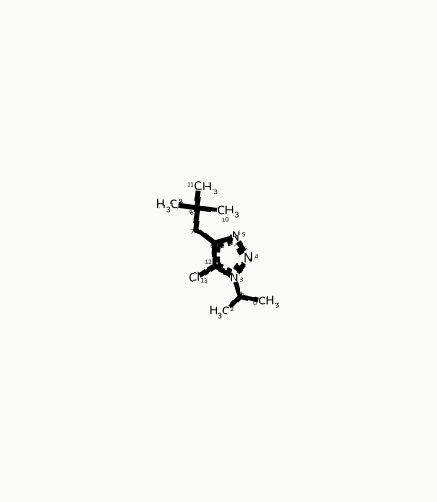 CC(C)n1nnc(CC(C)(C)C)c1Cl